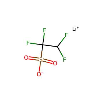 O=S(=O)([O-])C(F)(F)C(F)F.[Li+]